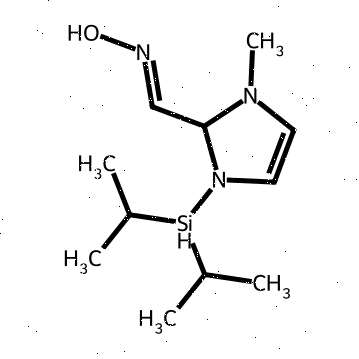 CC(C)[SiH](C(C)C)N1C=CN(C)C1C=NO